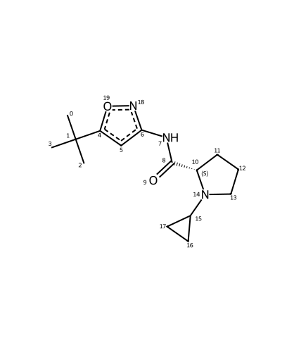 CC(C)(C)c1cc(NC(=O)[C@@H]2CCCN2C2CC2)no1